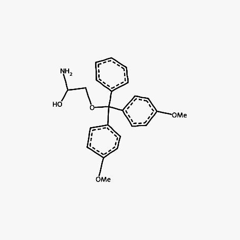 COc1ccc(C(OCC(N)O)(c2ccccc2)c2ccc(OC)cc2)cc1